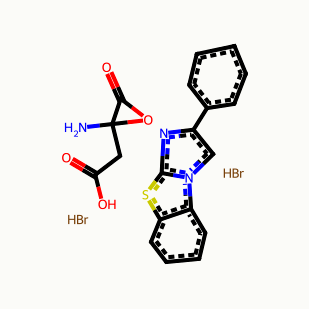 Br.Br.NC1(CC(=O)O)OC1=O.c1ccc(-c2cn3c(n2)sc2ccccc23)cc1